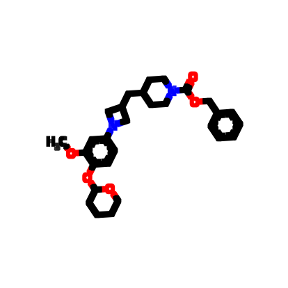 COc1cc(N2CC(CC3CCN(C(=O)OCc4ccccc4)CC3)C2)ccc1OC1CCCCO1